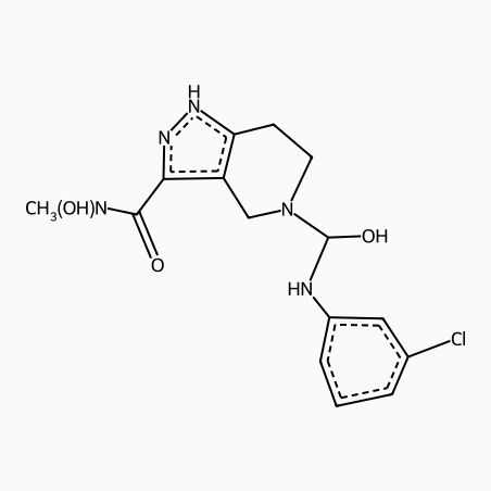 CN(O)C(=O)c1n[nH]c2c1CN(C(O)Nc1cccc(Cl)c1)CC2